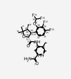 Cc1cnc(C(N)=O)cc1NC(=O)[C@@H]1OC(C)(C)[C@@H](C)[C@H]1c1ccc(F)c(F)c1OC(F)F